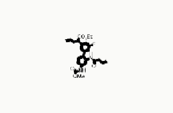 C=CCC(=O)Nc1cc(NC(=O)OC)ccc1-c1cc(F)cc(C(CC=C)C(=O)OCC)c1